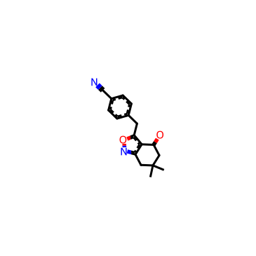 CC1(C)CC(=O)c2c(noc2Cc2ccc(C#N)cc2)C1